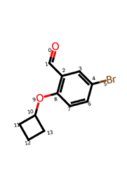 O=Cc1cc(Br)ccc1OC1CCC1